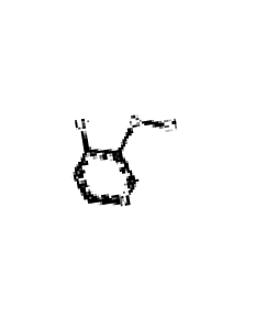 CCOc1cnccc1[O]